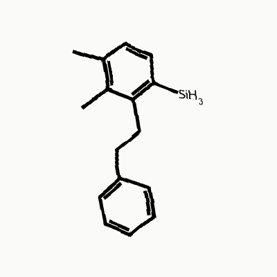 Cc1ccc([SiH3])c(CCc2ccccc2)c1C